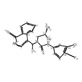 CC(c1c[nH]c(=O)c2ccccc12)N(C[C@@H](C)O)C(=O)Nc1ccc(F)c(Cl)c1